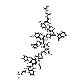 CCCC[C@@H](C(=O)N(C)CC(=O)NC(CC(=O)O)C(=O)N[C@H](C(=O)N(C)[C@@H](Cc1cnc[nH]1)C(=O)N[C@@H](Cc1ccc(O)cc1)C(=O)N(C)CC(=O)N[C@@H](Cc1c[nH]c2ccccc12)C(=O)N[C@@H](Cc1ccc(O)cc1)C(=O)NCC(=O)NCC(=O)NCC(N)=O)C(C)C)N(C)C(=O)[C@H](Cc1ccccc1)N(C)C(=O)[C@H](Cc1ccccc1)NC(=O)CSCCC(C)C